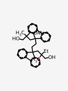 CCC(C)(CO)CC1(CCC2(CC(C)(CO)COC)c3ccccc3-c3ccccc32)c2ccccc2-c2ccccc21